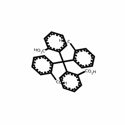 O=C(O)c1ccccc1C(c1ccccc1C(=O)O)(c1ccccc1C(=O)O)c1ccccc1C(=O)O